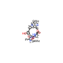 CCn1c(-c2cnccc2COC)c2c3cc(ccc31)-c1cc(O)cc(c1)C[C@H](NC(=O)C(C(C)C)N(C)C(=O)CNC)C(=O)N1CCC[C@H](N1)C(=O)OCC(C)(C)C2